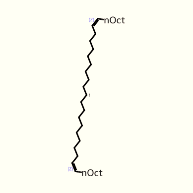 CCCCCCCC/C=C\CCCCCCCC[C]CCCCCCCC/C=C\CCCCCCCC